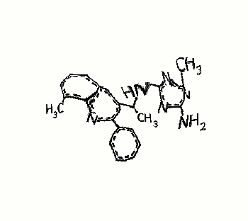 Cc1nc(N)nc(N[C@@H](C)c2cc3cccc(C)c3nc2-c2ccccc2)n1